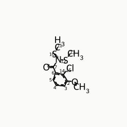 COc1cccc(C(=O)N(SC)SC)c1Cl